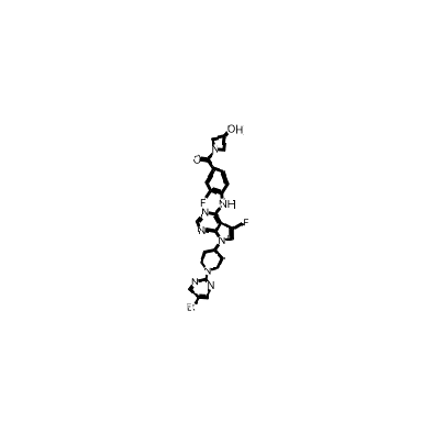 CCc1cnc(N2CCC(n3cc(F)c4c(Nc5ccc(C(=O)N6CC(O)C6)cc5F)ncnc43)CC2)nc1